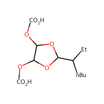 CCCCC(CC)C1OC(OC(=O)O)C(OC(=O)O)O1